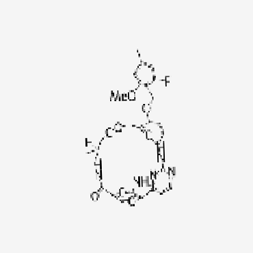 COc1cc(C)cc(F)c1COc1ccc2cc1COCC[C@H](C)CNC(=O)c1ccc(c(N)c1)-c1ccnc(n1)N2